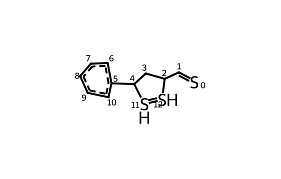 S=CC1CC(c2ccccc2)[SH]=[SH]1